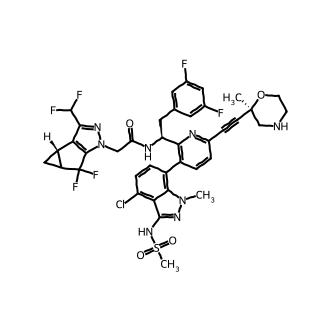 Cn1nc(NS(C)(=O)=O)c2c(Cl)ccc(-c3ccc(C#C[C@]4(C)CNCCO4)nc3[C@H](Cc3cc(F)cc(F)c3)NC(=O)Cn3nc(C(F)F)c4c3C(F)(F)C3C[C@H]43)c21